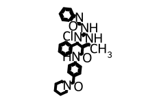 CC1=C(C(=O)Nc2ccc(C(=O)N3CCCCC3)cc2)C(c2ccccc2Cl)N=C(Nc2nc3ccccc3o2)N1